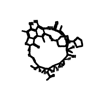 CO[C@H]1/C=C/O[C@@]2(C)Oc3c(C)c(O)c4c(O)c(c(/C=N/N5CCN(C6CCCC6)CC5)c(C)c4c3C2=O)NC(=O)/C(C)=C\CC[C@H](C)C(O)[C@@H](C)[C@@H](O)[C@@H](C)[C@H](OC(C)=O)[C@H]1C